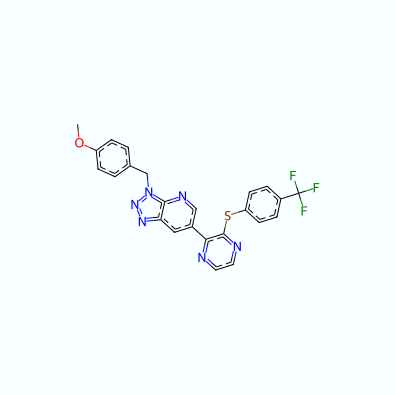 COc1ccc(Cn2nnc3cc(-c4nccnc4Sc4ccc(C(F)(F)F)cc4)cnc32)cc1